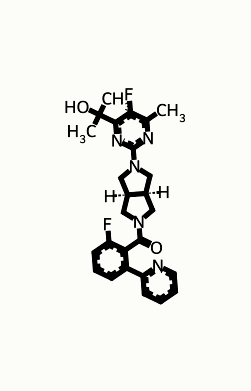 Cc1nc(N2C[C@H]3CN(C(=O)c4c(F)cccc4-c4ccccn4)C[C@H]3C2)nc(C(C)(C)O)c1F